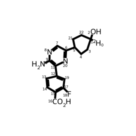 [2H]C1(O)CCC(c2cnc(N)c(-c3ccc(C(=O)O)c(F)c3)n2)CC1